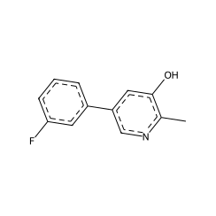 Cc1ncc(-c2cccc(F)c2)cc1O